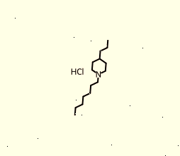 CCCCCCCN1CCC(CCC)CC1.Cl